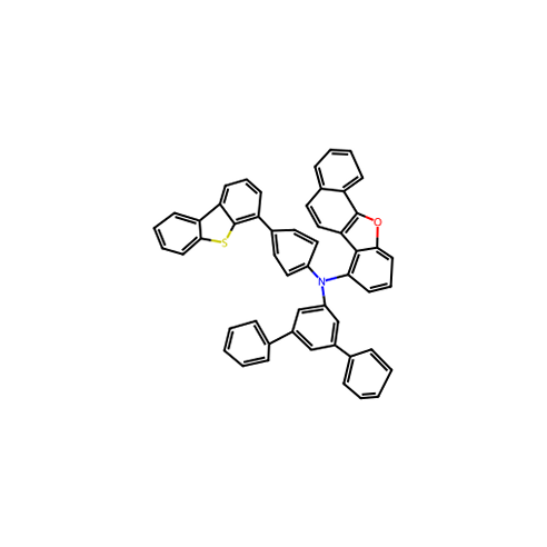 c1ccc(-c2cc(-c3ccccc3)cc(N(c3ccc(-c4cccc5c4sc4ccccc45)cc3)c3cccc4oc5c6ccccc6ccc5c34)c2)cc1